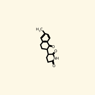 Cc1ccc2c(c1)CCC(C1CCC(=O)NC1=O)C2=O